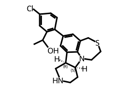 CC(O)c1cc(Cl)ccc1-c1cc2c3c(c1)[C@@H]1CNCC[C@@H]1N3CCSC2